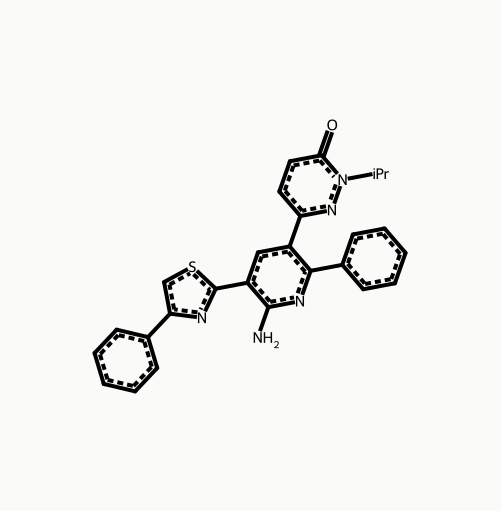 CC(C)n1nc(-c2cc(-c3nc(-c4ccccc4)cs3)c(N)nc2-c2ccccc2)ccc1=O